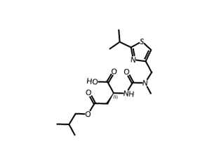 CC(C)COC(=O)C[C@H](NC(=O)N(C)Cc1csc(C(C)C)n1)C(=O)O